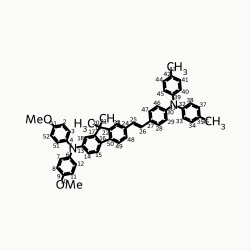 COc1ccc(N(c2ccc(OC)cc2)c2ccc3c(c2)C(C)(C)c2cc(/C=C/c4ccc(N(c5ccc(C)cc5)c5ccc(C)cc5)cc4)ccc2-3)cc1